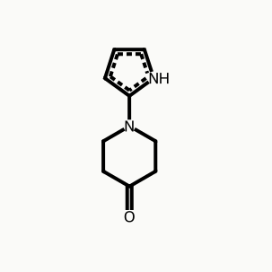 O=C1CCN(c2ccc[nH]2)CC1